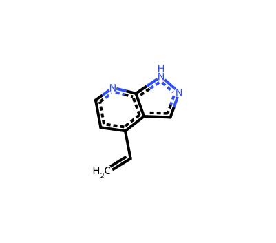 C=Cc1ccnc2[nH]ncc12